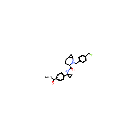 COC(=O)c1ccc(C2(NC(=O)[C@H]3CCC4CC4N3Cc3ccc(CF)cc3)CC2)cc1